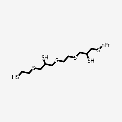 CCCSCC(S)CSCCSCC(S)CSCCS